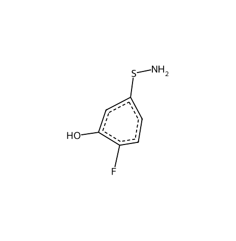 NSc1ccc(F)c(O)c1